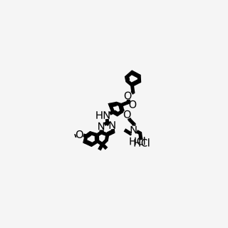 CCN(CC)CCOc1cc(Nc2ncc3c(n2)-c2cc(OC)ccc2C(C)(C)C3)ccc1C(=O)OCc1ccccc1.Cl.Cl